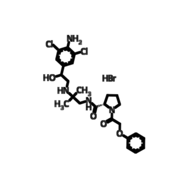 Br.CC(C)(CNC(=O)[C@@H]1CCCN1C(=O)COc1ccccc1)NCC(O)c1cc(Cl)c(N)c(Cl)c1